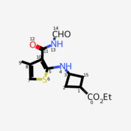 CCOC(=O)C1CC(Nc2scc(C)c2C(=O)NC=O)C1